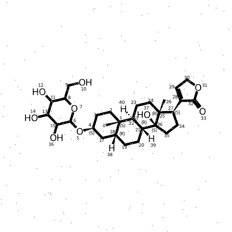 C[C@]12CC[C@H](OC3OC(CO)C(O)C(O)C3O)C[C@H]1CC[C@@H]1[C@@H]2CC[C@]2(C)[C@@H](C3=CCOC3=O)CC[C@]12O